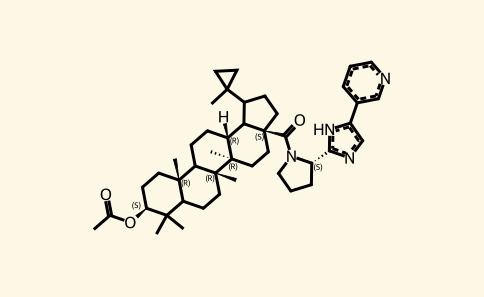 CC(=O)O[C@H]1CC[C@@]2(C)C(CC[C@]3(C)C2CC[C@@H]2C4C(C5(C)CC5)CC[C@]4(C(=O)N4CCC[C@H]4c4ncc(-c5cccnc5)[nH]4)CC[C@]23C)C1(C)C